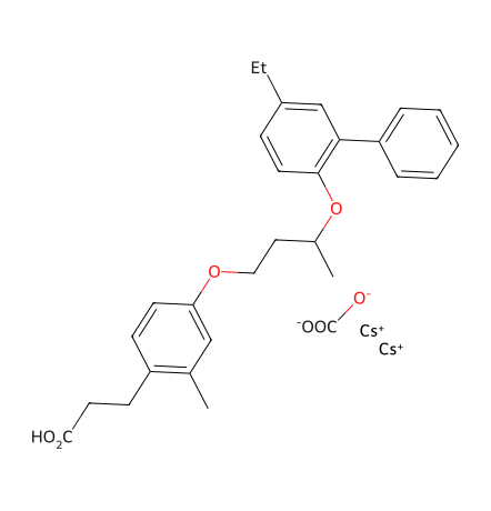 CCc1ccc(OC(C)CCOc2ccc(CCC(=O)O)c(C)c2)c(-c2ccccc2)c1.O=C([O-])[O-].[Cs+].[Cs+]